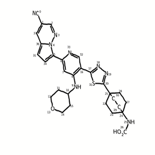 N#Cc1cnn2c(-c3cc(NC4CCOCC4)c(-c4nnc(C56CCC(NC(=O)O)(CC5)CC6)s4)cn3)ccc2c1